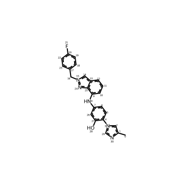 Cc1cn(-c2ccc(Nc3cccc4cn(Cc5ccc(F)cc5)nc34)cc2O)cn1